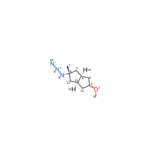 CO[C@@H]1C[C@@H]2C[C@@](C)(N=[N+]=[N-])C[C@@H]2C1